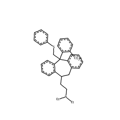 CCN(CC)CCC1Cc2ccccc2C(CSc2ccccc2)(c2ccccc2C(=O)O)c2ccccc21